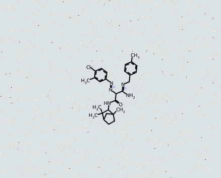 Cc1ccc(C/N=C(\N)C(/N=N/c2ccc(Cl)c(C)c2)C(=O)NC2C3(C)CCC(C3)C2(C)C)cc1